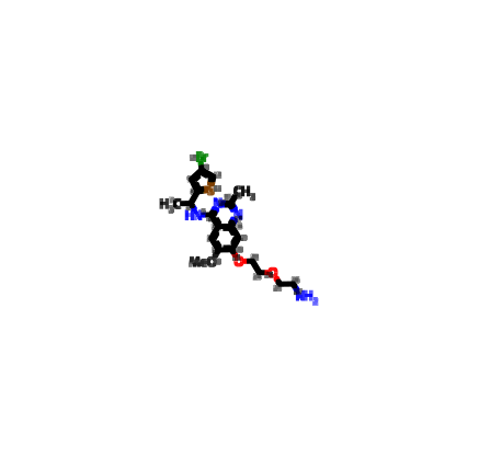 COc1cc2c(NC(C)c3cc(Br)cs3)nc(C)nc2cc1OCCOCCN